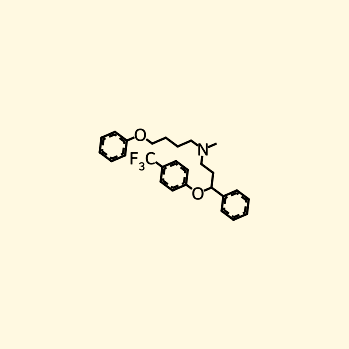 CN(CCCCOc1ccccc1)CCC(Oc1ccc(C(F)(F)F)cc1)c1ccccc1